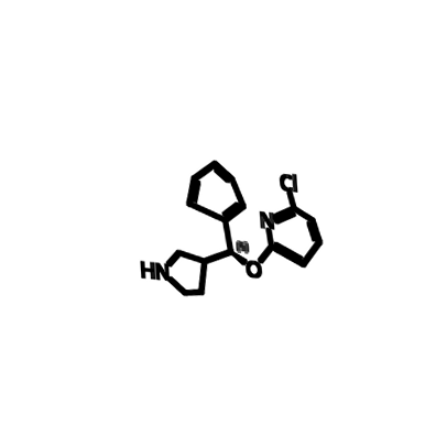 Clc1cccc(O[C@H](c2ccccc2)C2CCNC2)n1